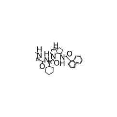 CN[C@@H](C)C(=O)N[C@H](C(=O)N1CC[C@H]2CCC(NC(=O)c3cccc4ccccc34)C21)C1CCCCC1